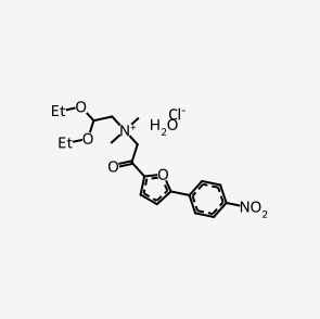 CCOC(C[N+](C)(C)CC(=O)c1ccc(-c2ccc([N+](=O)[O-])cc2)o1)OCC.O.[Cl-]